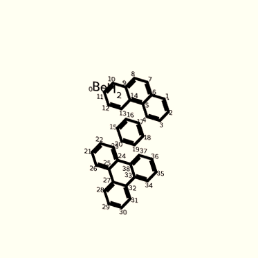 [BeH2].[c]1cccc2c1ccc1ccccc12.[c]1ccccc1.c1ccc2c(c1)c1ccccc1c1ccccc21